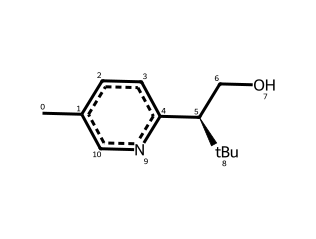 Cc1ccc([C@@H](CO)C(C)(C)C)nc1